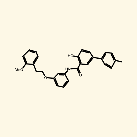 COc1ccccc1CCOc1cccc(NC(=O)c2cc(-c3ccc(C)cc3)ccc2O)c1